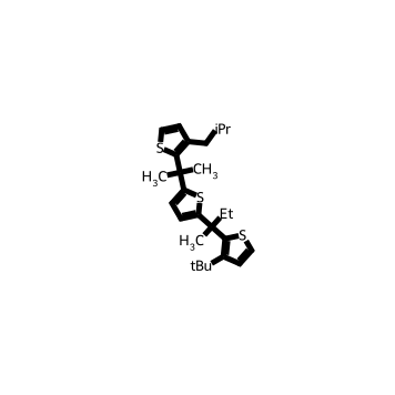 CCC(C)(c1ccc(C(C)(C)c2sccc2CC(C)C)s1)c1sccc1C(C)(C)C